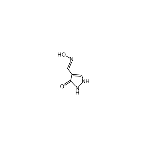 O=c1[nH][nH]cc1/C=N/O